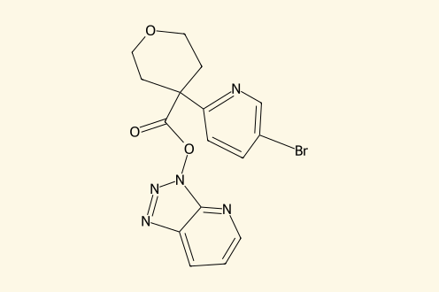 O=C(On1nnc2cccnc21)C1(c2ccc(Br)cn2)CCOCC1